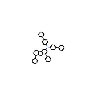 C1=CC(c2ccc(N(c3ccc(-c4ccccc4)cc3)c3cc4c(c(-c5ccccc5)c3)CC3=C4C=CCC3c3ccccc3)cc2)=CCC1